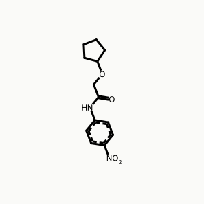 O=C(COC1CCCC1)Nc1ccc([N+](=O)[O-])cc1